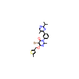 Cc1cc(COc2nc(C)n(-c3cccc(-c4nc(C(C)C)ncc4C)c3)c(=O)c2Br)cs1